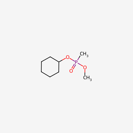 COP(C)(=O)OC1CCCCC1